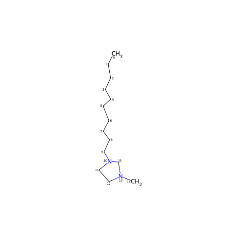 CCCCCCCCCCN1CCN(C)C1